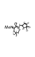 CNC1CC(C)(C)CCN(CC2C=CC(C)(C)C2)C1=O